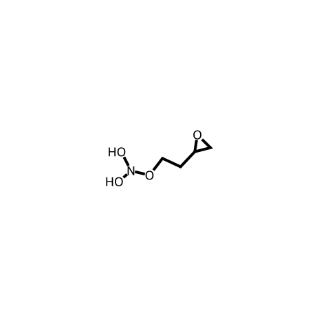 ON(O)OCCC1CO1